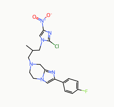 CC(CN1CCn2cc(-c3ccc(F)cc3)nc2C1)Cn1cc([N+](=O)[O-])nc1Cl